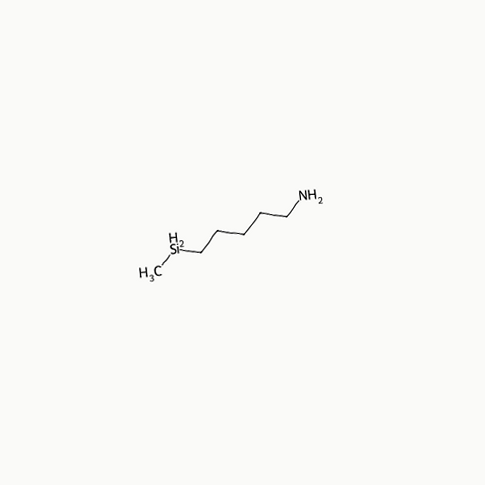 C[SiH2]CCCCCN